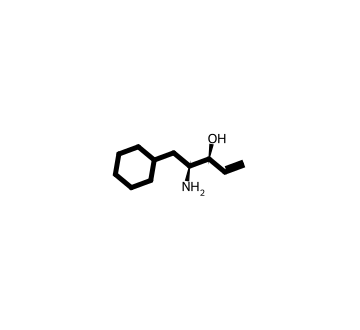 C=C[C@H](O)[C@@H](N)CC1CCCCC1